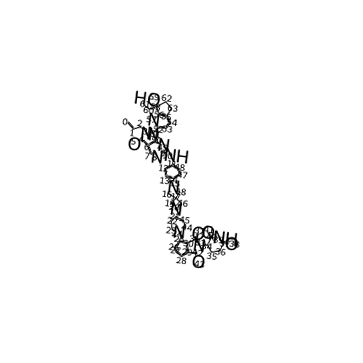 C=CCn1c(=O)c2cnc(Nc3ccc(N4CC5(C4)CN(C4CCN(c6cccc7c6C(=O)N(C6CCC(=O)NC6=O)C7=O)CC4)C5)cc3)nc2n1-c1ccc2c(n1)[C@@](O)(CC)CC2